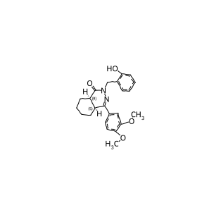 COc1ccc(C2=NN(Cc3ccccc3O)C(=O)[C@@H]3CCCC[C@H]23)cc1OC